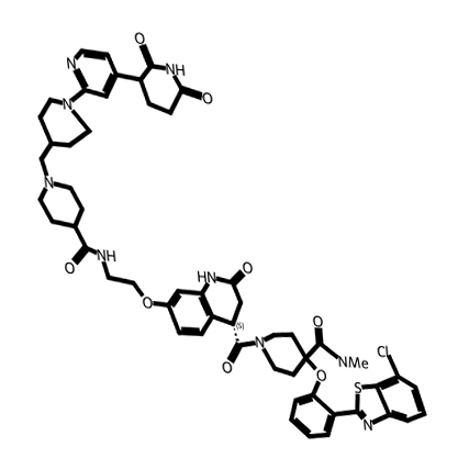 CNC(=O)C1(Oc2ccccc2-c2nc3cccc(Cl)c3s2)CCN(C(=O)[C@H]2CC(=O)Nc3cc(OCCNC(=O)C4CCN(CC5CCN(c6cc(C7CCC(=O)NC7=O)ccn6)CC5)CC4)ccc32)CC1